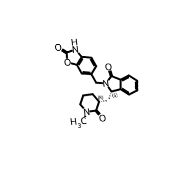 CN1CCC[C@H](C[C@H]2c3ccccc3C(=O)N2Cc2ccc3[nH]c(=O)oc3c2)C1=O